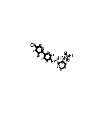 CCS(=O)(=O)N[C@H]1CCCO[C@@H]1COc1ccc(-c2ncc(Cl)cc2F)cc1